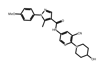 COc1ccc(-n2ncc(C(=O)Nc3cnc(N4CCC(O)CC4)c(C#N)c3)c2C)cc1